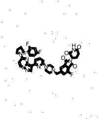 O=C1CCC(N2C(=O)c3cc(CN4CCN(c5cccc(-c6cnn7ccc(N8CCC[C@@H]8c8ccc(F)cc8F)nc67)n5)CC4)cc(F)c3C2=O)C(=O)N1